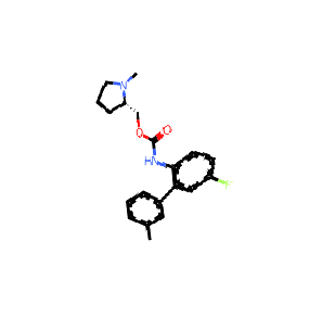 Cc1cccc(-c2cc(F)ccc2NC(=O)OC[C@@H]2CCCN2C)c1